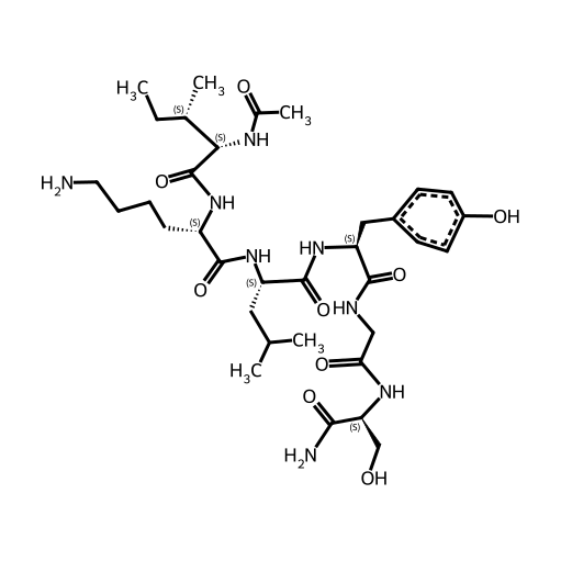 CC[C@H](C)[C@H](NC(C)=O)C(=O)N[C@@H](CCCCN)C(=O)N[C@@H](CC(C)C)C(=O)N[C@@H](Cc1ccc(O)cc1)C(=O)NCC(=O)N[C@@H](CO)C(N)=O